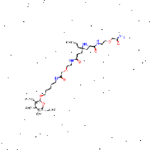 CC(=O)N[C@H]1[C@H](OCCCCCNC(=O)COCCNC(=O)CCC(N)(CCC=O)CCC(=O)NCCOCC(N)=O)O[C@H](COC(C)=O)[C@H](OC(C)=O)[C@@H]1OC(C)=O